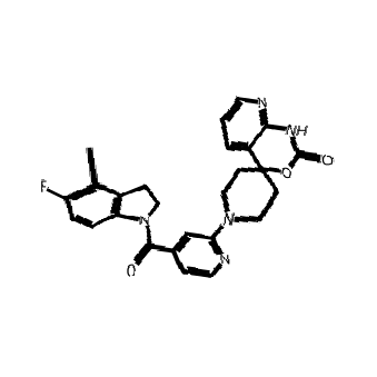 Cc1c(F)ccc2c1CCN2C(=O)c1ccnc(N2CCC3(CC2)OC(=O)Nc2ncccc23)c1